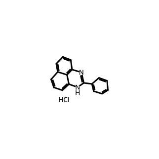 Cl.c1ccc(C2=Nc3cccc4cccc(c34)N2)cc1